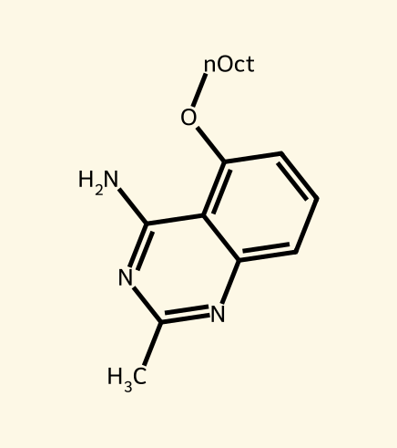 CCCCCCCCOc1cccc2nc(C)nc(N)c12